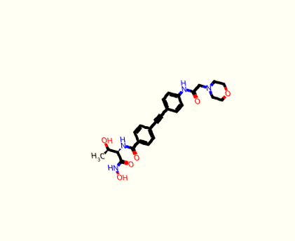 C[C@@H](O)[C@H](NC(=O)c1ccc(C#Cc2ccc(NC(=O)CN3CCOCC3)cc2)cc1)C(=O)NO